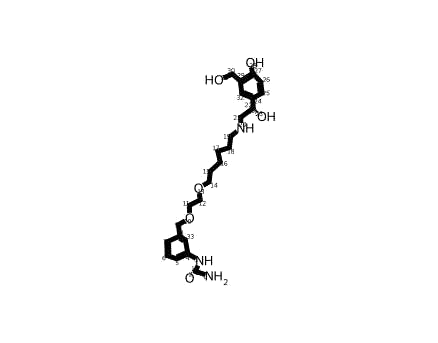 NC(=O)Nc1cccc(COCCOCCCCCCNC[C@@H](O)c2ccc(O)c(CO)c2)c1